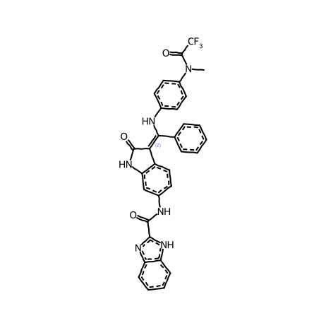 CN(C(=O)C(F)(F)F)c1ccc(N/C(=C2\C(=O)Nc3cc(NC(=O)c4nc5ccccc5[nH]4)ccc32)c2ccccc2)cc1